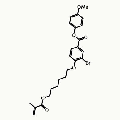 C=C(C)C(=O)OCCCCCCOc1ccc(C(=O)Oc2ccc(OC)cc2)cc1Br